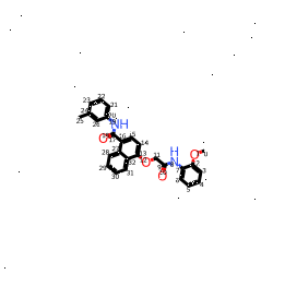 COc1ccccc1NC(=O)COc1ccc(C(=O)Nc2cccc(C)c2)c2ccccc12